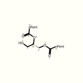 CCCCCC(=O)OC[C@H](CO)OC(=O)CCCCC